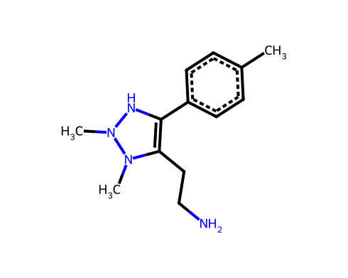 Cc1ccc(C2=C(CCN)N(C)N(C)N2)cc1